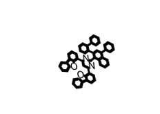 c1ccc(-c2ccccc2-c2cc(-c3ccccc3)c3ccccc3c2-c2nc(-c3cccc4c3oc3ccccc34)cc(-c3cccc4c3oc3ccccc34)n2)cc1